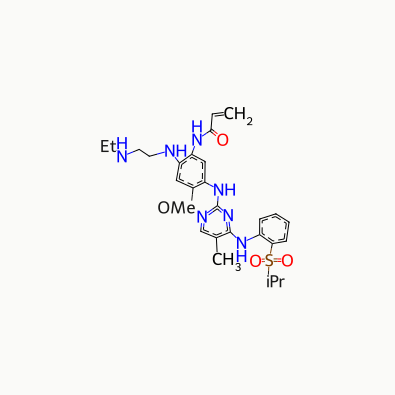 C=CC(=O)Nc1cc(Nc2ncc(C)c(Nc3ccccc3S(=O)(=O)C(C)C)n2)c(OC)cc1NCCNCC